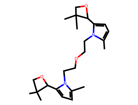 Cc1ccc(C2OCC2(C)C)n1CCOCCn1c(C)ccc1C1OCC1(C)C